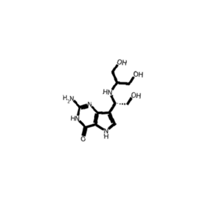 Nc1nc2c([C@@H](CO)NC(CO)CO)c[nH]c2c(=O)[nH]1